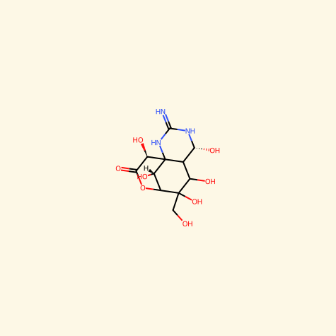 N=C1N[C@H](O)C2C(O)C(O)(CO)C3OC(=O)[C@@H](O)C2(N1)[C@H]3O